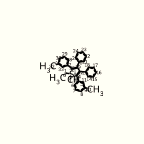 CC[Si]1(C)C(c2cccc(C)c2)=C(c2ccccc2)C(c2ccccc2)=C1c1cccc(C)c1